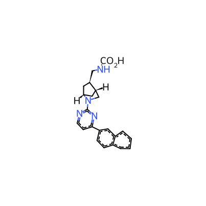 O=C(O)NC[C@@H]1C[C@@H]2C[C@H]1CN2c1nccc(-c2ccc3ccccc3c2)n1